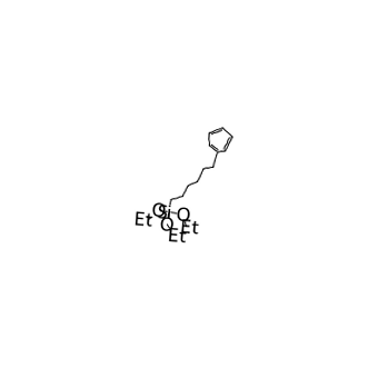 CCO[Si](CCCCCCc1ccccc1)(OCC)OCC